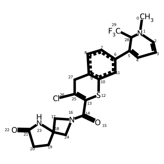 CN1C=CC=C(c2ccc3c(c2)SC(C(=O)N2CC4(CCC(=O)N4)C2)=C(Cl)C3)C1C(F)(F)F